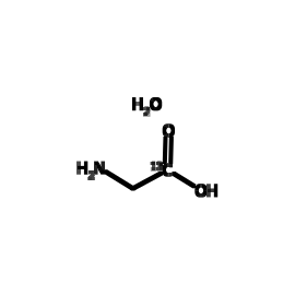 NC[13C](=O)O.O